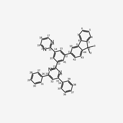 CC1(C)c2ccccc2-c2cc(-c3cc(-c4ncccn4)cc(-c4nc(-c5ccccc5)cc(-c5ccccc5)n4)c3)ccc21